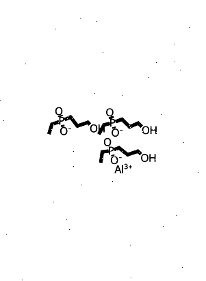 CCP(=O)([O-])CCCO.CCP(=O)([O-])CCCO.CCP(=O)([O-])CCCO.[Al+3]